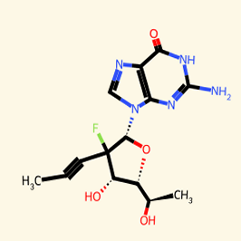 CC#CC1(F)[C@@H](O)[C@@H]([C@@H](C)O)O[C@H]1n1cnc2c(=O)[nH]c(N)nc21